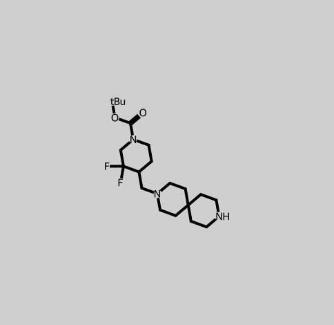 CC(C)(C)OC(=O)N1CCC(CN2CCC3(CCNCC3)CC2)C(F)(F)C1